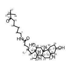 C[C@H](CCC(=O)NCCCCCC(=O)C(C)(C)C)[C@H]1CC[C@H]2[C@@H]3CC[C@@H]4C[C@H](O)CC[C@]4(C)[C@H]3C[C@H](O)[C@]12C